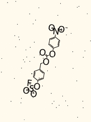 O=C(OCc1ccc(OS(=O)(=O)F)cc1)Oc1ccc([N+](=O)[O-])cc1